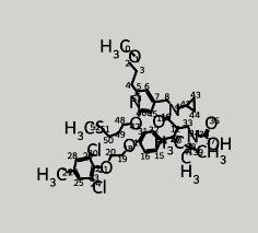 COCCCc1cc(CN(C(=O)C(Cc2ccc(OCCOc3c(Cl)cc(C)cc3Cl)cc2)CN(C(=O)O)C(C)(C)C)C2CC2)cc(OCCCSC)n1